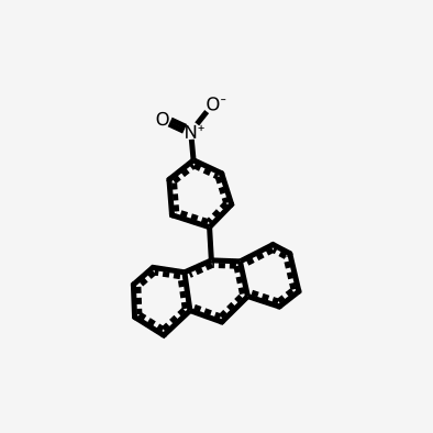 O=[N+]([O-])c1ccc(-c2c3ccccc3cc3ccccc23)cc1